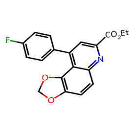 CCOC(=O)c1cc(-c2ccc(F)cc2)c2c3c(ccc2n1)OCO3